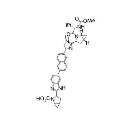 COC(=O)N[C@H](C(=O)N1[C@@H]2C[C@@H]2C[C@H]1c1nc(-c2ccc3cc(-c4ccc5nc(C6CC7CC7N6C(=O)O)[nH]c5c4)ccc3c2)c[nH]1)C(C)C